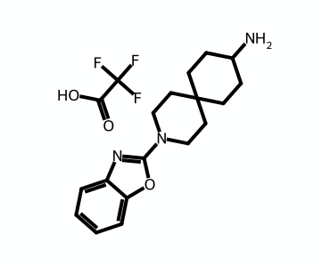 NC1CCC2(CC1)CCN(c1nc3ccccc3o1)CC2.O=C(O)C(F)(F)F